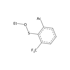 CCOSc1c(C(C)=O)cccc1C(F)(F)F